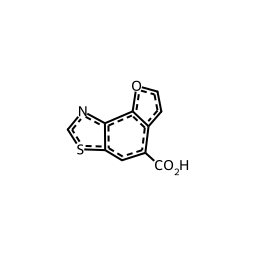 O=C(O)c1cc2scnc2c2occc12